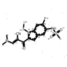 CN(C)/C=C(\C#N)C(=O)c1cc2cc(NS(C)(=O)=O)c(F)cc2n1SI